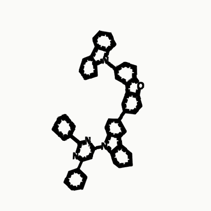 c1ccc(-c2cc(-n3c4ccccc4c4cc(-c5ccc6oc7ccc(-n8c9ccccc9c9ccccc98)cc7c6c5)ccc43)nc(-c3ccccc3)n2)cc1